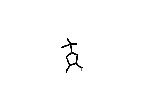 CC(C)(C)C1CC(F)C(F)C1